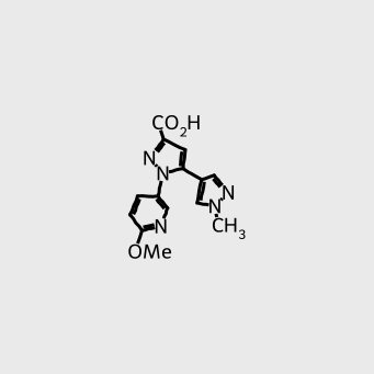 COc1ccc(-n2nc(C(=O)O)cc2-c2cnn(C)c2)cn1